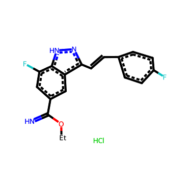 CCOC(=N)c1cc(F)c2[nH]nc(C=Cc3ccc(F)cc3)c2c1.Cl